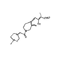 C=C1CN(C(=O)CN2CCN(C)CC2)CC/C1=C/C(O)=C(\C)C=O